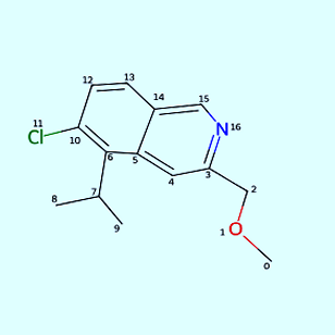 COCc1cc2c(C(C)C)c(Cl)ccc2cn1